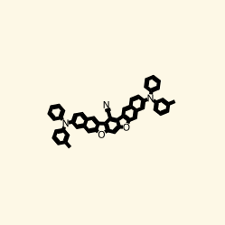 Cc1cccc(N(c2ccccc2)c2ccc3cc4c(cc3c2)oc2cc3oc5cc6cc(N(c7ccccc7)c7cccc(C)c7)ccc6cc5c3c(C#N)c24)c1